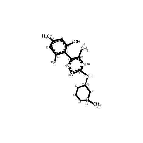 Cc1cc(O)c(-c2nnc(N[C@@H]3CCCN(C)C3)nc2C)c(F)c1